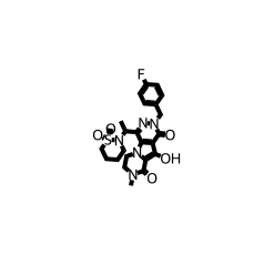 CC(c1nn(Cc2ccc(F)cc2)c(=O)c2c(O)c3n(c12)CCN(C)C3=O)N1CCCCS1(=O)=O